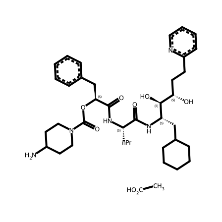 CC(=O)O.CCC[C@H](NC(=O)[C@H](Cc1ccccc1)OC(=O)N1CCC(N)CC1)C(=O)N[C@@H](CC1CCCCC1)[C@@H](O)[C@@H](O)CCc1ccccn1